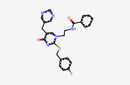 O=C(NCCn1cc(Cc2cncnc2)c(=O)nc1SCc1ccc(F)cc1)c1ccccc1